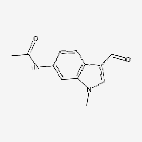 CC(=O)Nc1ccc2c(C=O)cn(C)c2c1